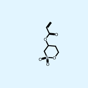 C=CC(=O)OC1CCOS(=O)(=O)C1